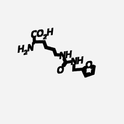 NC(CCCCNC(=O)NCc1ccco1)C(=O)O